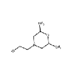 CC1CN(CC[O])CC(C)O1